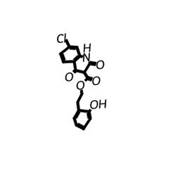 O=C1Nc2cc(Cl)ccc2C(=O)C1C(=O)OCCc1ccccc1O